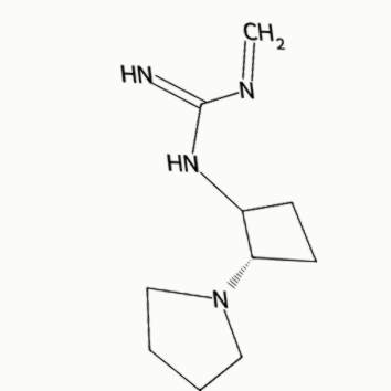 C=NC(=N)NC1CC[C@@H]1N1CCCC1